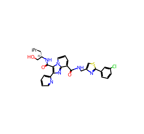 CC(C)C[C@@H](CO)NC(=O)c1c(-c2ccccn2)nc2c(C(=O)NCc3csc(-c4cccc(Cl)c4)n3)cccn12